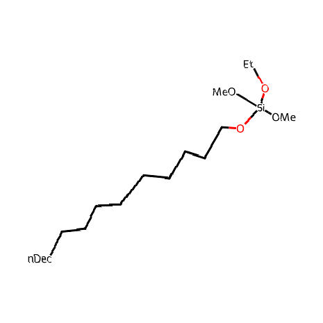 CCCCCCCCCCCCCCCCCCCO[Si](OC)(OC)OCC